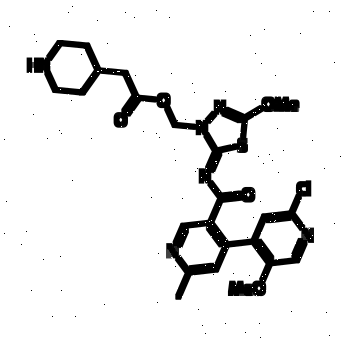 COc1nn(COC(=O)CC2CCNCC2)/c(=N/C(=O)c2cnc(C)cc2-c2cc(Cl)ncc2OC)s1